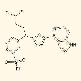 CCS(=O)(=O)c1cccc(C(CCC(F)F)n2cc(-c3ncnc4[nH]ccc34)cn2)c1